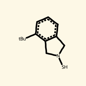 CC(C)(C)c1cccc2c1CN(S)C2